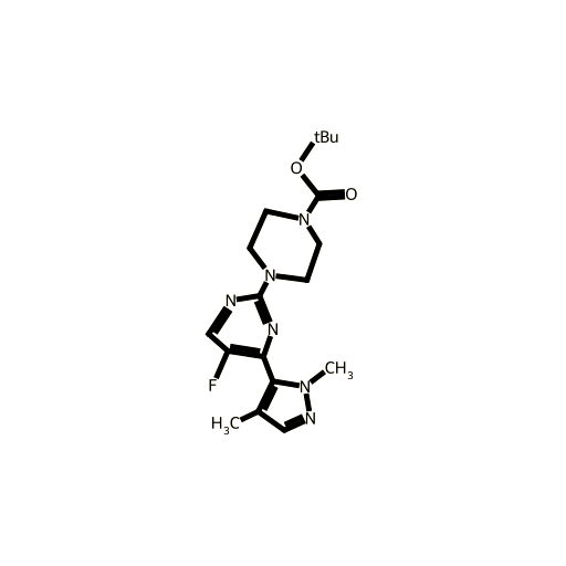 Cc1cnn(C)c1-c1nc(N2CCN(C(=O)OC(C)(C)C)CC2)ncc1F